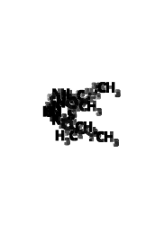 CCCCCC(C)(C)c1ccc2c(c1)Sc1cc(C(C)(C)CCCCC)ccc1N=[N][Ni][N]=N2.CCCCN